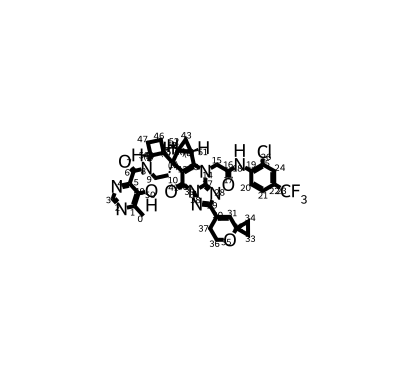 Cc1ncnc(C(=O)N2CC[C@]3(c4c(n(CC(=O)Nc5ccc(C(F)(F)F)cc5Cl)c5nc(C6=CC7(CC7)OCC6)nn5c4=O)[C@H]4C[C@H]43)[C@@H]3CC[C@@H]32)c1O